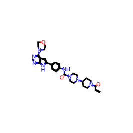 C=CC(=O)N1CCC(N2CCN(C(=O)Nc3ccc(-c4cc5c(N6CCOCC6)ncnc5[nH]4)cc3)CC2)CC1